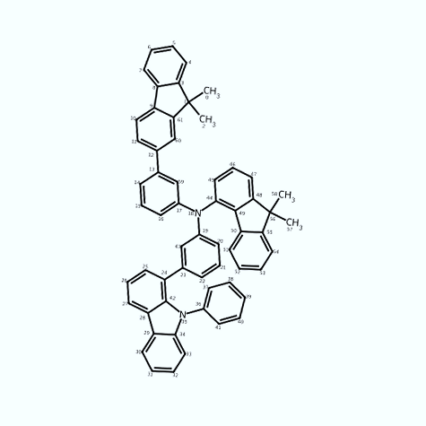 CC1(C)c2ccccc2-c2ccc(-c3cccc(N(c4cccc(-c5cccc6c7ccccc7n(-c7ccccc7)c56)c4)c4cccc5c4-c4ccccc4C5(C)C)c3)cc21